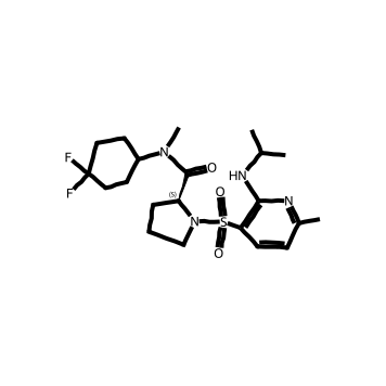 Cc1ccc(S(=O)(=O)N2CCC[C@H]2C(=O)N(C)C2CCC(F)(F)CC2)c(NC(C)C)n1